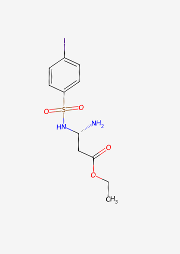 CCOC(=O)C[C@@H](N)NS(=O)(=O)c1ccc(I)cc1